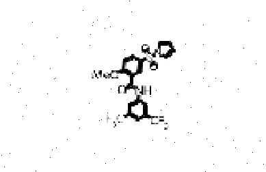 COc1ccc(S(=O)(=O)n2cccc2)cc1C(=O)Nc1cc(C(F)(F)F)cc(C(F)(F)F)c1